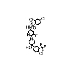 O=S(=O)(Nc1cnc(N2CCC(O)(c3ccc(Cl)c(C(F)(F)F)c3)CC2)c(Cl)c1)c1ccc(Cl)cc1Cl